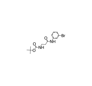 CC(C)(C)OC(=O)NCCC(=O)Nc1cccc(Br)c1